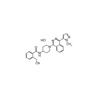 Cl.Cn1nccc1-c1nnc(N2CCC(NC(=O)c3ccccc3CC#N)CC2)c2ccccc12